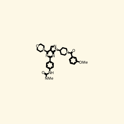 CNC(=O)Nc1ccc(-c2nc(N3CCOCC3)c3cnn(C4CCN(C(=O)c5cccc(OC)c5)CC4)c3n2)cc1